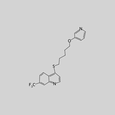 FC(F)(F)c1ccc2c(SCCCCCOc3cccnc3)ccnc2c1